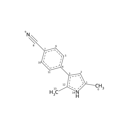 Cc1cc(-c2ccc(C#N)cc2)c(C)[nH]1